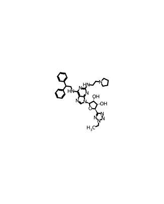 CCn1nnc([C@H]2O[C@@H](n3cnc4c(NCC(c5ccccc5)c5ccccc5)nc(NCCN5CCCC5)nc43)[C@H](O)[C@@H]2O)n1